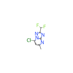 Cc1cc(Cl)n2nc(C(F)F)nc2n1